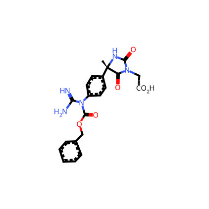 C[C@@]1(c2ccc(N(C(=N)N)C(=O)OCc3ccccc3)cc2)NC(=O)N(CC(=O)O)C1=O